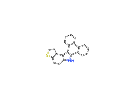 c1ccc2c(c1)c1ccccc1c1c2[nH]c2ccc3sccc3c21